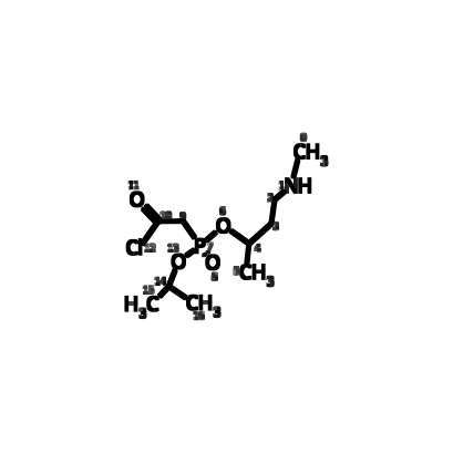 CNCCC(C)OP(=O)(CC(=O)Cl)OC(C)C